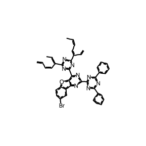 C=C/C=C\C(=C/C)c1nc(/C(C=C)=C/C=C\C)nc(-c2nc(-c3nc(-c4ccccc4)nc(-c4ccccc4)n3)nc3c2oc2ccc(Br)cc23)n1